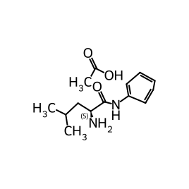 CC(=O)O.CC(C)C[C@H](N)C(=O)Nc1ccccc1